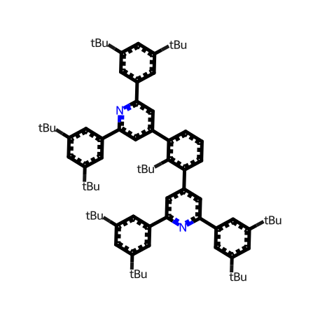 CC(C)(C)c1cc(-c2cc(-c3cccc(-c4cc(-c5cc(C(C)(C)C)cc(C(C)(C)C)c5)nc(-c5cc(C(C)(C)C)cc(C(C)(C)C)c5)c4)c3C(C)(C)C)cc(-c3cc(C(C)(C)C)cc(C(C)(C)C)c3)n2)cc(C(C)(C)C)c1